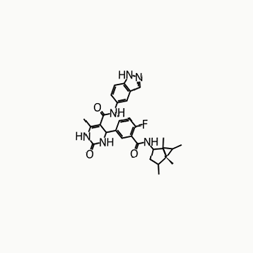 CC1=C(C(=O)Nc2ccc3[nH]ncc3c2)C(c2ccc(F)c(C(=O)NC3CC(C)[C@@]4(C)C(C)C34C)c2)NC(=O)N1